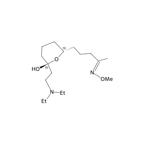 CCN(CC)CC[C@]1(O)CCC[C@H](CCCC(C)=NOC)O1